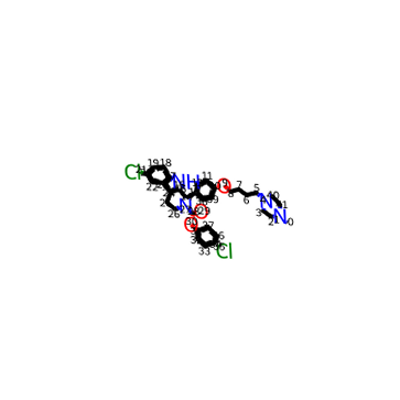 CN1CCN(CCCCOc2ccc(C3c4[nH]c5ccc(Cl)cc5c4CCN3C(=O)Oc3ccc(Cl)cc3)cc2)CC1